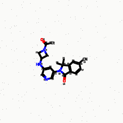 CCC(=O)N1CC(Nc2cncc(N3C(=O)c4ccc(C#N)cc4C3(C)C)c2)C1